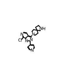 Clc1nccc2c(N3CCC4(CCNC4)CC3)nc(-c3ccncc3)nc12